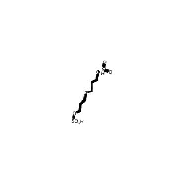 O=[SH](=O)OCCCSCCCOS(=O)(=O)O